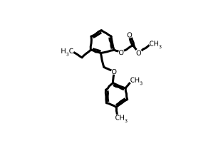 CCc1cccc(OC(=O)OC)c1COc1ccc(C)cc1C